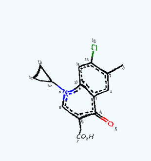 Cc1cc2c(=O)c(C(=O)O)cn(C3CC3)c2cc1Cl